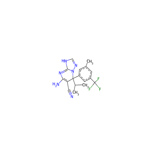 Cc1cc(C(F)(F)F)cc(C2(C(C)C)C(C#N)=C(N)N=C3NC=NN32)c1